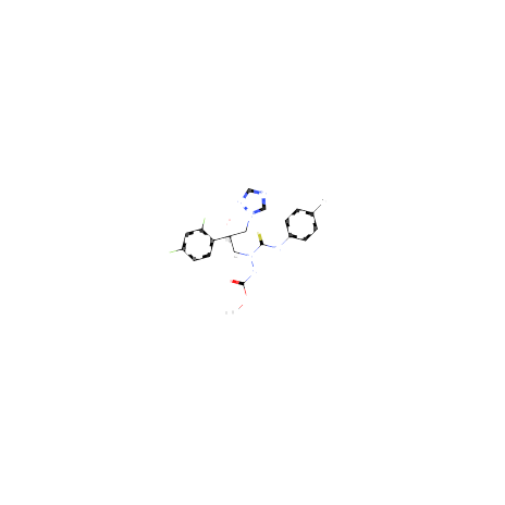 CCCCOC(=O)NN(C(=S)Nc1ccc([N+](=O)[O-])cc1)[C@H](C)[C@](O)(Cn1cncn1)c1ccc(F)cc1F